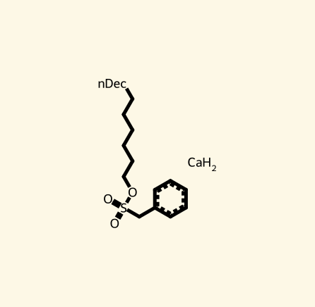 CCCCCCCCCCCCCCCCOS(=O)(=O)Cc1ccccc1.[CaH2]